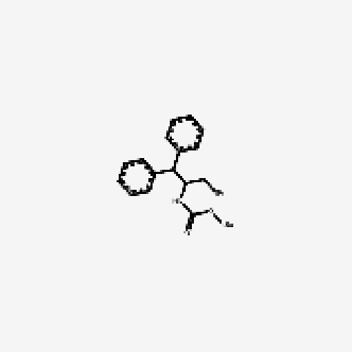 CC(C)CC(NC(=O)OC(C)(C)C)C(c1ccccc1)c1ccccc1